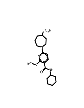 CCCSc1nc(N2CCCC(C(=O)O)CC2)ccc1C(=O)NC1CCCCC1